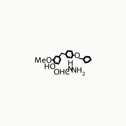 COc1cc(Cc2ccc(OCc3ccccc3)cc2)ccc1O.NNC=O